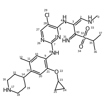 CN/C=C(/Nc1nc(Nc2cc(C)c(C3CCNCC3)cc2OC2CC2)ncc1Cl)C(=N)S(=O)(=O)C(C)C